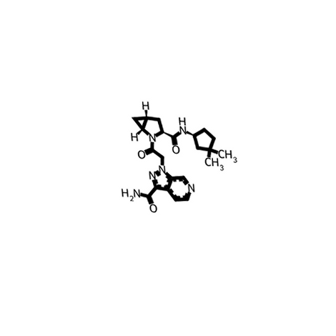 CC1(C)CC[C@H](NC(=O)[C@@H]2C[C@H]3C[C@H]3N2C(=O)Cn2nc(C(N)=O)c3ccncc32)C1